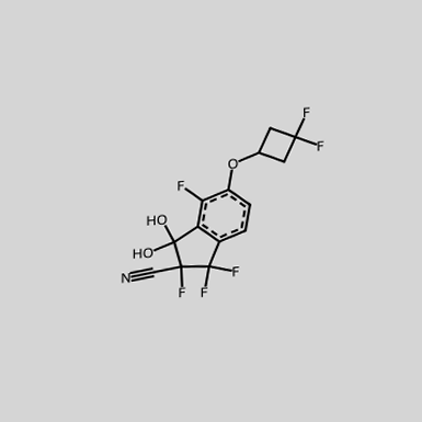 N#CC1(F)C(O)(O)c2c(ccc(OC3CC(F)(F)C3)c2F)C1(F)F